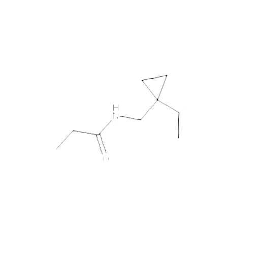 CCC(=O)NCC1(CC)CC1